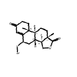 CC(=O)SC1C[C@@H]2[C@@H](CC[C@]3(C)C(=O)OC[C@@H]23)[C@@]2(C)CCC(=O)C=C12